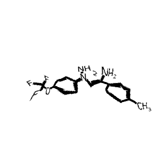 Cc1ccc(/C(N)=C/N(N)c2ccc(OC(F)(F)F)cc2)cc1